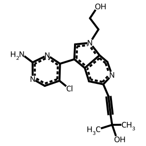 CC(C)(O)C#Cc1cc2c(-c3nc(N)ncc3Cl)cn(CCO)c2cn1